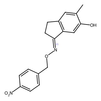 Cc1cc2c(cc1O)/C(=N/OCc1ccc([N+](=O)[O-])cc1)CC2